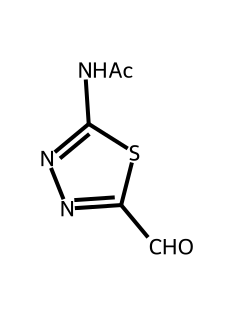 CC(=O)Nc1nnc(C=O)s1